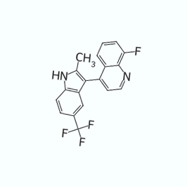 Cc1[nH]c2ccc(C(F)(F)F)cc2c1-c1ccnc2c(F)cccc12